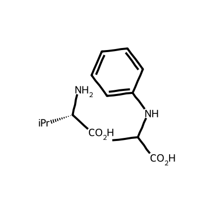 CC(C)[C@H](N)C(=O)O.CC(Nc1ccccc1)C(=O)O